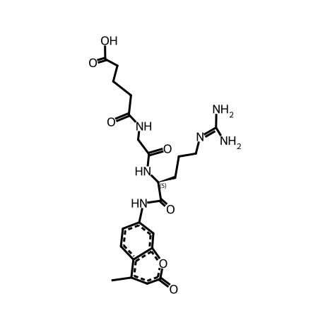 Cc1cc(=O)oc2cc(NC(=O)[C@H](CCCN=C(N)N)NC(=O)CNC(=O)CCCC(=O)O)ccc12